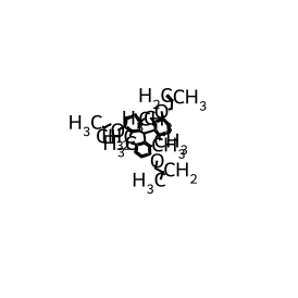 C=C(C)COc1ccc(C)c(C(c2c(C)ccc(OCC(=C)C)c2C)c2c(C)ccc(OCC(=C)C)c2C)c1C